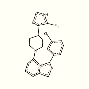 Cc1[nH]cnc1C1CCN(c2cccc3cnc(-c4cccc(Cl)c4)n23)CC1